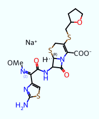 CO/N=C(\C(=O)NC1C(=O)N2C(C(=O)[O-])=C(SCC3CCCO3)CS[C@H]12)c1csc(N)n1.[Na+]